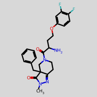 CN1N=C2CCN(C(=O)C(N)CCOc3ccc(F)c(F)c3)CC2(Cc2ccccc2)C1=O